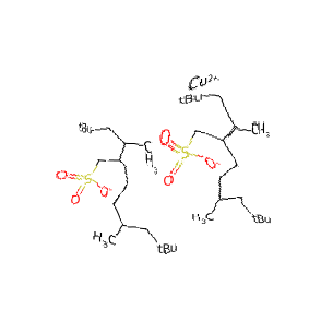 CC(CCC(CS(=O)(=O)[O-])C(C)CC(C)(C)C)CC(C)(C)C.CC(CCC(CS(=O)(=O)[O-])C(C)CC(C)(C)C)CC(C)(C)C.[Cu+2]